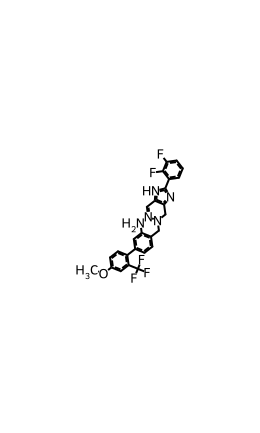 COc1ccc(-c2ccc(CN3Cc4nc(-c5cccc(F)c5F)[nH]c4C=N3)c(N)c2)c(C(F)(F)F)c1